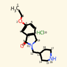 CCOc1ccc2c(c1)C(=O)N(CC1CCNCC1)C2.Cl